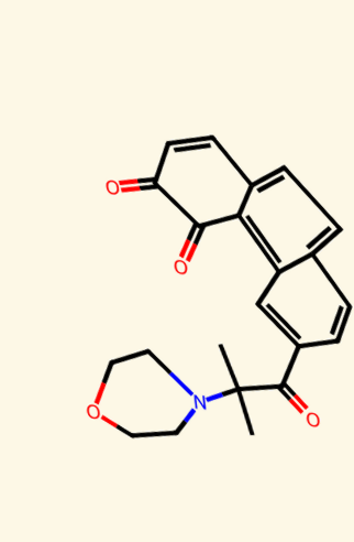 CC(C)(C(=O)c1ccc2ccc3c(c2c1)C(=O)C(=O)C=C3)N1CCOCC1